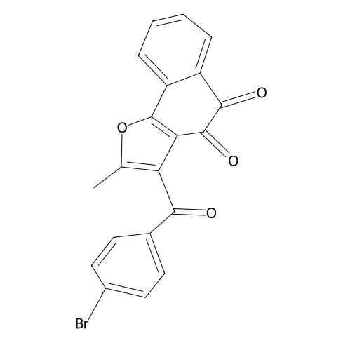 Cc1oc2c(c1C(=O)c1ccc(Br)cc1)C(=O)C(=O)c1ccccc1-2